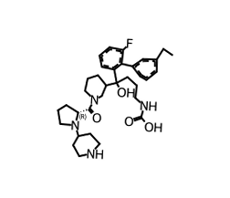 CCc1cccc(-c2c(F)cccc2C(O)(CCCNC(=O)O)C2CCCN(C(=O)[C@H]3CCCN3C3CCNCC3)C2)c1